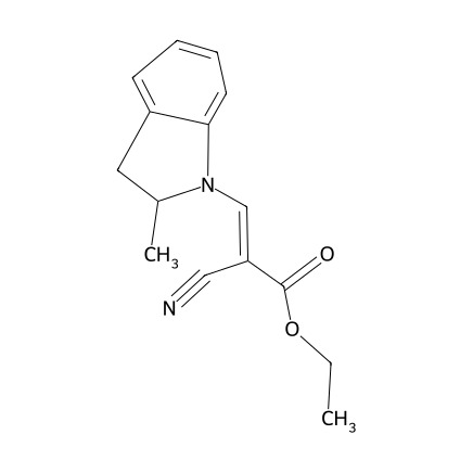 CCOC(=O)/C(C#N)=C/N1c2ccccc2CC1C